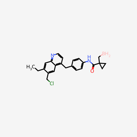 BCC1(C(=O)Nc2ccc(Cc3ccnc4cc(CC)c(CCl)cc34)cc2)CC1